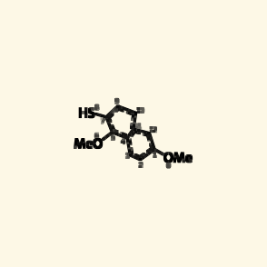 COc1ccc2c(OC)c(S)ccc2c1